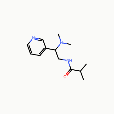 CC(C)C(=O)NCC(c1cccnc1)N(C)C